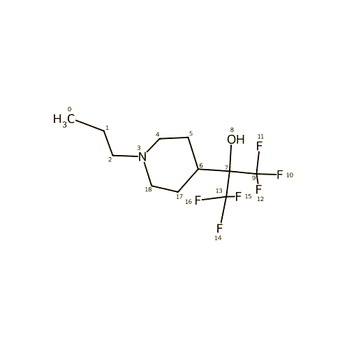 CCCN1CCC(C(O)(C(F)(F)F)C(F)(F)F)CC1